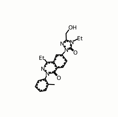 CCc1nn(-c2ccccc2C)c(=O)c2ccc(-n3nc(CO)n(CC)c3=O)cc12